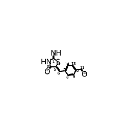 N=C1NC(=O)C(=Cc2ccc(C=O)cc2)S1